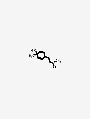 CN(C)CCC1C=CC(C)(C)C=C1